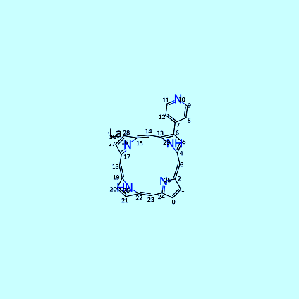 C1=Cc2cc3cc(-c4ccncc4)c(cc4nc(cc5ccc(cc1n2)[nH]5)C=C4)[nH]3.[La]